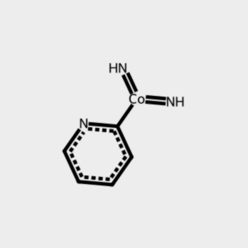 [NH]=[Co](=[NH])[c]1ccccn1